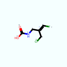 O=C(O)NC/C(=C/F)CCl